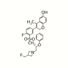 CC1=C(c2ccc(F)c(S(C)(=O)=O)c2)[C@@H](c2ccc(OCCN3CC(CF)C3)cc2)Oc2ccc(O)cc21